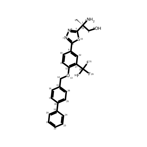 C[C@](N)(CO)c1nnc(-c2ccc(OCc3ccc(-c4ccccc4)cc3)c(C(F)(F)F)c2)s1